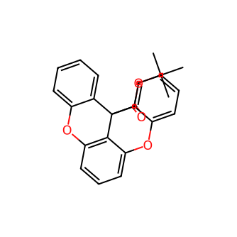 CC(C)(C)OC(=O)C12c3ccccc3Oc3cccc(c31)Oc1ccccc12